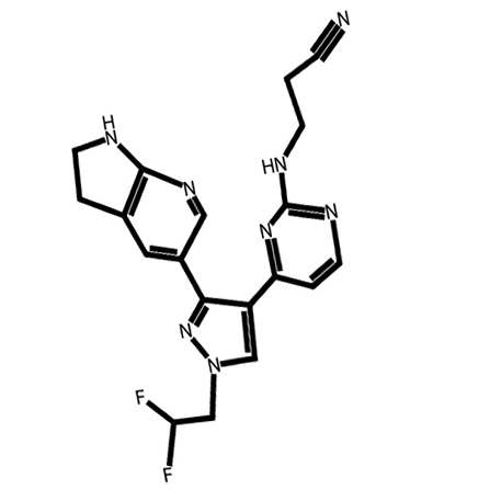 N#CCCNc1nccc(-c2cn(CC(F)F)nc2-c2cnc3c(c2)CCN3)n1